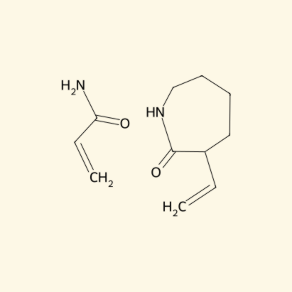 C=CC(N)=O.C=CC1CCCCNC1=O